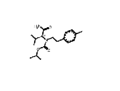 Cc1ccc(CCN(C(=O)OC(C)C)[C@H](C(N)=O)C(C)C)cc1